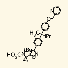 CC(C)C(C)(c1ccc(OCc2ccccn2)cc1)c1ccc(-c2noc(C3(N(C(=O)O)C(C)(C)C)CC3)n2)cc1